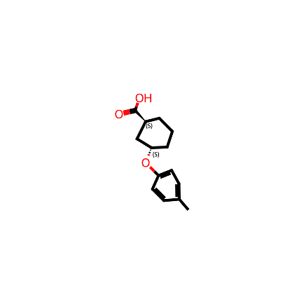 Cc1ccc(O[C@H]2CCC[C@H](C(=O)O)C2)cc1